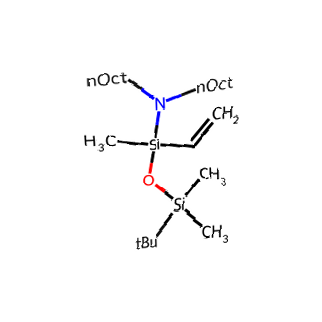 C=C[Si](C)(O[Si](C)(C)C(C)(C)C)N(CCCCCCCC)CCCCCCCC